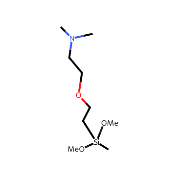 CO[Si](C)(CCOCCN(C)C)OC